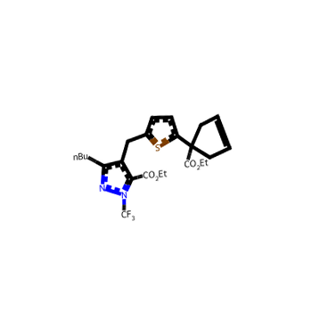 CCCCc1nn(C(F)(F)F)c(C(=O)OCC)c1Cc1ccc(C2(C(=O)OCC)CC=CC2)s1